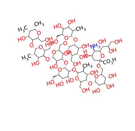 CC1C(O)[C@H](O)[C@H](CO)O[C@H]1O[C@@H]1C(O)[C@H](O)C(CO)O[C@@H]1OCC1O[C@@H](O[C@@H]2C(CO)O[C@@H](O[C@@H]3C(CO)O[C@@H](C)[C@@H](C)C3O)[C@@H](C)C2O)[C@H](O)C(O[C@H]2O[C@H](CO)[C@@H](O)C(O)C2O[C@@H]2OC(CO)[C@@H](O[C@@H]3OC(CO[C@]4(C(=O)O)C[C@@H](O)[C@@H](N)C([C@H](O)[C@H](O)CO)O4)[C@H](O)C(O)[C@@H]3O)C(O)[C@@H]2C)[C@@H]1O